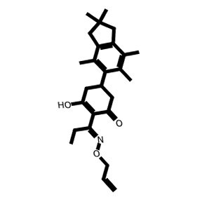 C=CCON=C(CC)C1=C(O)CC(c2c(C)c(C)c3c(c2C)CC(C)(C)C3)CC1=O